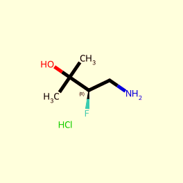 CC(C)(O)[C@H](F)CN.Cl